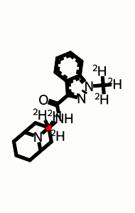 [2H]C([2H])([2H])N1C2CCCC1CC(NC(=O)c1nn(C([2H])([2H])[2H])c3ccccc13)C2